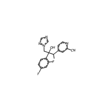 CC(c1ccnc(C#N)c1)C(O)(Cn1cncn1)c1ccc(F)cc1F